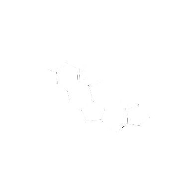 C[C@@H]1CCCN1C[C@@H]1CCCN1C(=O)c1c(F)cc(Br)cc1F